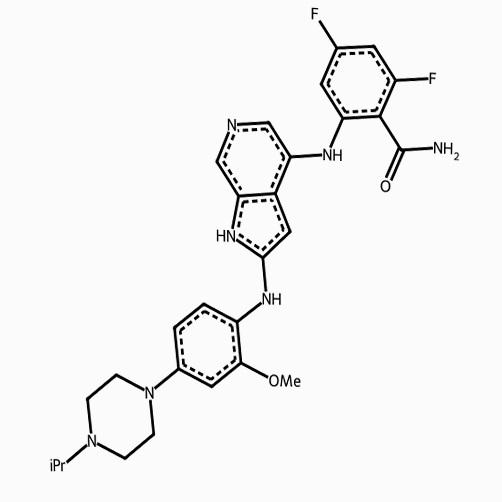 COc1cc(N2CCN(C(C)C)CC2)ccc1Nc1cc2c(Nc3cc(F)cc(F)c3C(N)=O)cncc2[nH]1